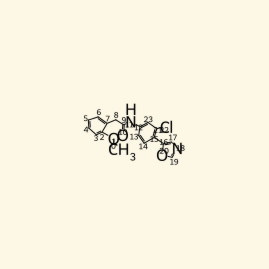 COc1ccccc1CC(=O)Nc1ccc(-c2cnco2)c(Cl)c1